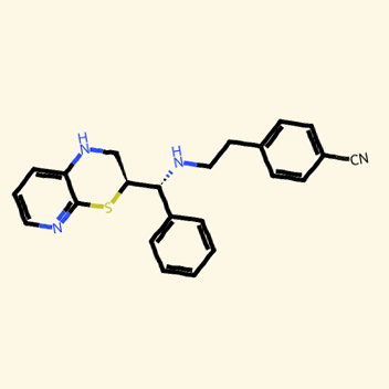 N#Cc1ccc(CCN[C@H](c2ccccc2)[C@@H]2CNc3cccnc3S2)cc1